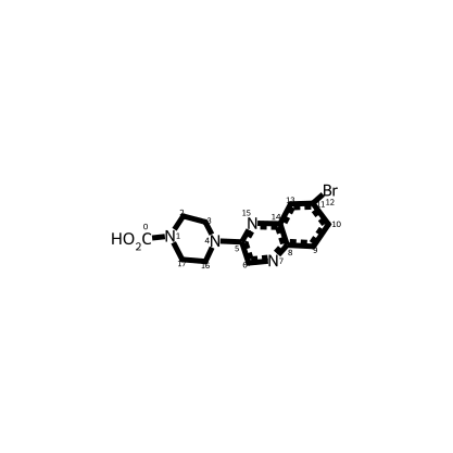 O=C(O)N1CCN(c2cnc3ccc(Br)cc3n2)CC1